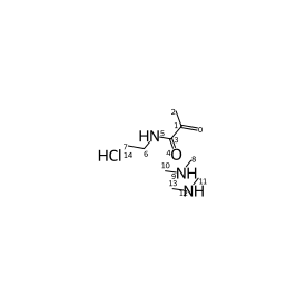 C=C(C)C(=O)NCC.CNC.CNC.Cl